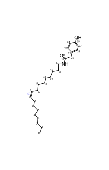 CCCCCCCC/C=C\CCCCCCCCNC(=O)Cc1ccc(O)cc1